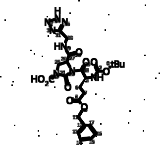 CC(C)(C)OC(=O)N[C@@H](CCC(=O)OCc1ccccc1)C(=O)N1C(=O)N(C(=O)O)CC1C(=O)NCc1nn[nH]n1